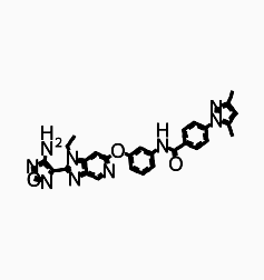 CCn1c(-c2nonc2N)nc2cnc(Oc3cccc(NC(=O)c4ccc(-n5nc(C)cc5C)cc4)c3)cc21